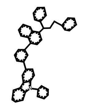 c1ccc(CCC(c2ccccc2)c2ccc(-c3cccc(-c4ccc5c(c4)c4ccccc4n5-c4ccccc4)c3)c3ccccc23)cc1